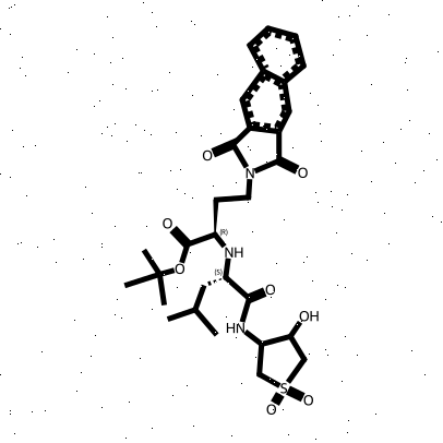 CC(C)C[C@H](N[C@H](CCN1C(=O)c2cc3ccccc3cc2C1=O)C(=O)OC(C)(C)C)C(=O)NC1CS(=O)(=O)CC1O